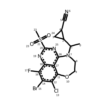 CC(C1CC1C#N)N1CCOc2c(Cl)c(Br)c(F)c3nc(S(C)(=O)=O)nc1c23